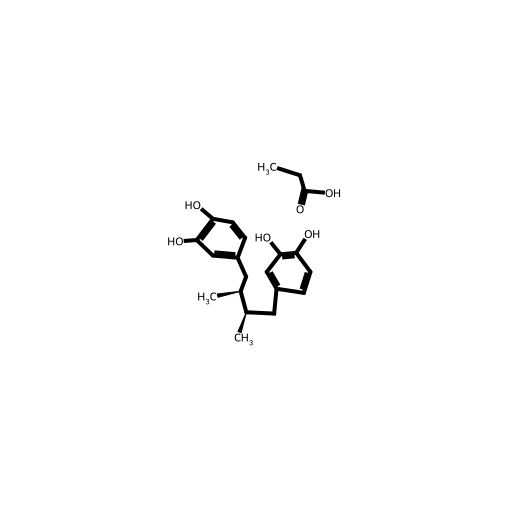 CCC(=O)O.C[C@H](Cc1ccc(O)c(O)c1)[C@@H](C)Cc1ccc(O)c(O)c1